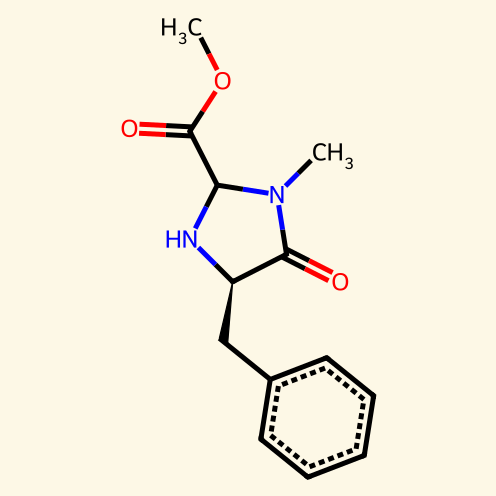 COC(=O)C1N[C@H](Cc2ccccc2)C(=O)N1C